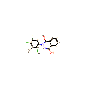 Cc1c(F)c(F)cc(-n2nc(O)c3ccccc3c2=O)c1F